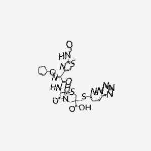 O=CNc1nc(C(=NOC2C=CCC2)C(=O)NC2C(=O)N3CC(CSc4ccc5nnnn5n4)(C(=O)O)CS[C@H]23)cs1